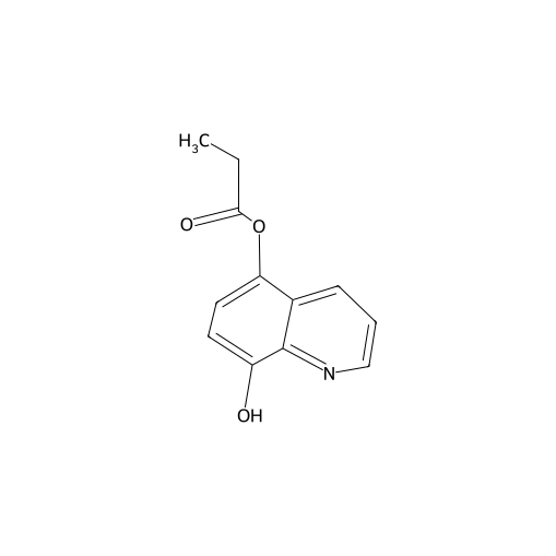 CCC(=O)Oc1ccc(O)c2ncccc12